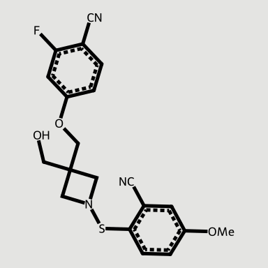 COc1ccc(SN2CC(CO)(COc3ccc(C#N)c(F)c3)C2)c(C#N)c1